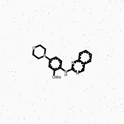 COc1cc(N2CCOCC2)ccc1Nc1ncc2ccccc2n1